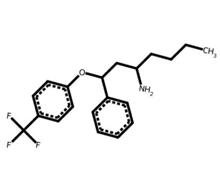 CCCCC(N)CC(Oc1ccc(C(F)(F)F)cc1)c1ccccc1